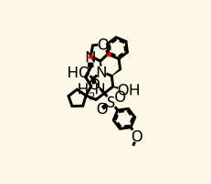 COc1ccc(S(=O)(=O)C(N)(CC2(CCC#N)CCCC2)[C@H](O)[C@H](Cc2ccccc2)N(C(=O)O)[C@H]2CCOC2)cc1